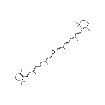 CC1=C(/C=C/C(C)=C/C=C/C(C)=C/COC/C=C(C)/C=C/C=C(C)/C=C/C2=C(C)CCCC2(C)C)C(C)(C)CCC1